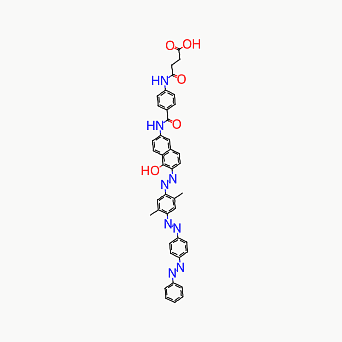 Cc1cc(N=Nc2ccc3cc(NC(=O)c4ccc(NC(=O)CCC(=O)O)cc4)ccc3c2O)c(C)cc1N=Nc1ccc(N=Nc2ccccc2)cc1